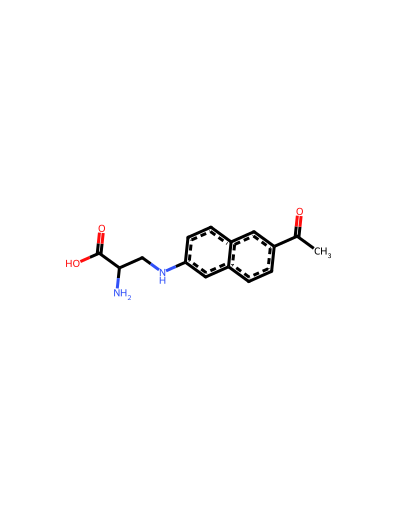 CC(=O)c1ccc2cc(NCC(N)C(=O)O)ccc2c1